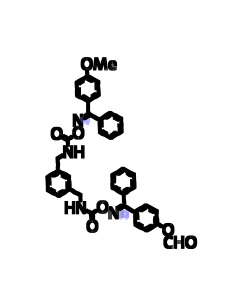 COc1ccc(/C(=N/OC(=O)NCc2cccc(CNC(=O)O/N=C(\c3ccccc3)c3ccc(OC=O)cc3)c2)c2ccccc2)cc1